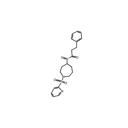 O=C([CH]Cc1ccccc1)[N+](=O)C1CCCN(S(=O)(=O)c2ccccn2)CC1